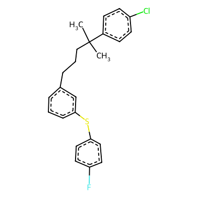 CC(C)(CCCc1cccc(Sc2ccc(F)cc2)c1)c1ccc(Cl)cc1